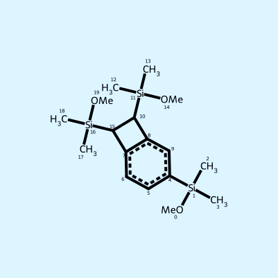 CO[Si](C)(C)c1ccc2c(c1)C([Si](C)(C)OC)C2[Si](C)(C)OC